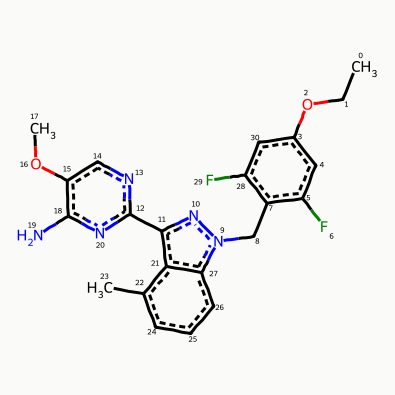 CCOc1cc(F)c(Cn2nc(-c3ncc(OC)c(N)n3)c3c(C)cccc32)c(F)c1